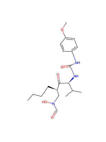 CCCC[C@H](CN(O)C=O)C(=O)[C@@H](NC(=O)Nc1ccc(OC)cc1)C(C)C